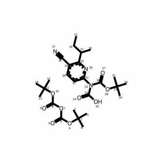 CC(C)(C)OC(=O)OC(=O)OC(C)(C)C.CCC(C)c1nc(N(C(=O)O)C(=O)OC(C)(C)C)ccc1C#N